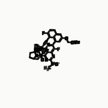 COCOc1cc(-c2nc(OC)c3c(N4CC5CCC(C4)N5C(=O)OC(C)(C)C)nc([S+](C)[O-])nc3c2F)c2c(C#C[Si](C(C)C)(C(C)C)C(C)C)c(F)ccc2c1